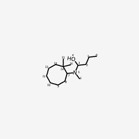 CCCC(O)N(C)C1CCCCCCC1(C)C